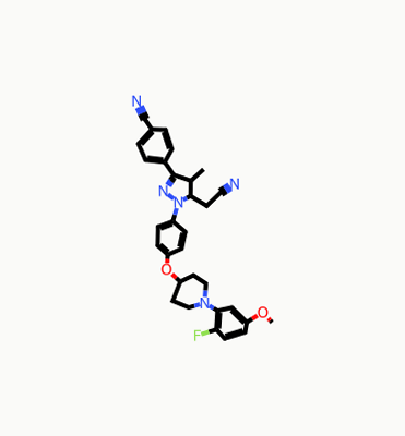 COc1ccc(F)c(N2CCC(Oc3ccc(N4N=C(c5ccc(C#N)cc5)C(C)C4CC#N)cc3)CC2)c1